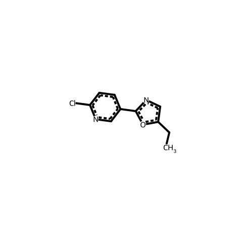 CCc1cnc(-c2ccc(Cl)nc2)o1